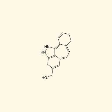 OCC1=CC2=CC=C3CCC=CC3=C3NNC(=C23)C1